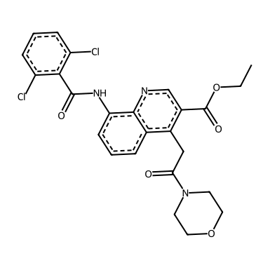 CCOC(=O)c1cnc2c(NC(=O)c3c(Cl)cccc3Cl)cccc2c1CC(=O)N1CCOCC1